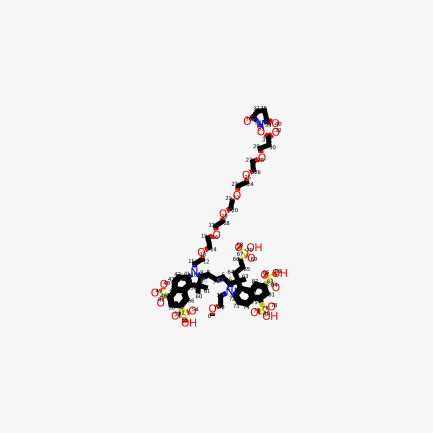 COCC[N+]1=C(/C=C/C=C2/N(CCOCCOCCOCCOCCOCCOCCC(=O)ON3C(=O)CCC3=O)c3ccc4c(S(=O)(=O)[O-])cc(S(=O)(=O)O)cc4c3C2(C)C)C(C)(CCCS(=O)(=O)O)c2c1ccc1c(S(=O)(=O)O)cc(S(=O)(=O)O)cc21